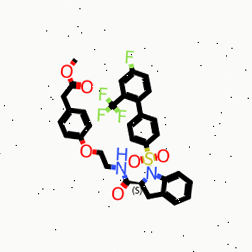 COC(=O)Cc1ccc(OCCNC(=O)[C@@H]2Cc3ccccc3N2S(=O)(=O)c2ccc(-c3ccc(F)cc3C(F)(F)F)cc2)cc1